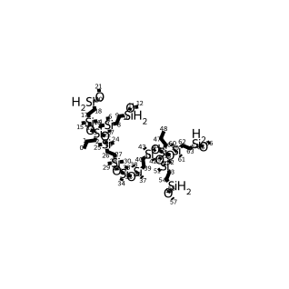 CCC[Si](C[Si](C)(C)CC[SiH2]OC)(O[Si](C)(C)CC[SiH2]OC)O[Si](C)(C)CC[Si](C)(C)O[Si](C)(C)O[Si](C)(C)CC[Si](C)(C)O[Si](CCC)(O[Si](C)(C)CC[SiH2]OC)O[Si](C)(C)CC[SiH2]OC